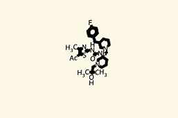 CC(=O)c1sc(NC(=O)N[C@@]2(CN3CCCC(Cc4ccc(F)cc4)C3)CCCN(CC(C)(C)O)C2)nc1C